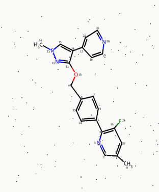 Cc1cnc(-c2ccc(COc3nn(C)cc3-c3ccncc3)cc2)c(F)c1